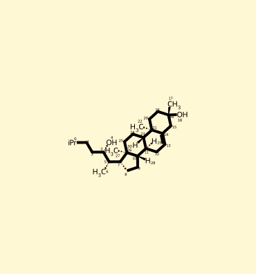 CC(C)CC[C@H](O)[C@@H](C)[C@H]1CC[C@H]2[C@@H]3CC=C4C[C@@](C)(O)CC[C@]4(C)[C@H]3CC[C@]12C